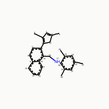 CC1=CC(C)=C(c2ccc3ccccc3c2CNc2c(C)cc(C)cc2C)C1